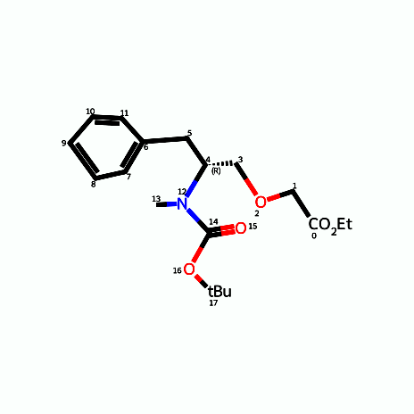 CCOC(=O)COC[C@@H](Cc1ccccc1)N(C)C(=O)OC(C)(C)C